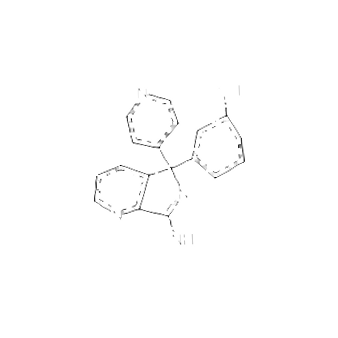 NC1=NC(c2ccncc2)(c2cccc(O)c2)c2cccnc21